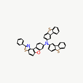 c1ccc(-c2nc3c(ccc4oc5cc(N(c6ccc7sc8ccccc8c7c6)c6ccc7sc8ccccc8c7c6)ccc5c43)s2)cc1